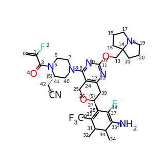 C=C(F)C(=O)N1CCN(c2nc(OCC34CCCN3CCC4)nc3c2CO[C@H](C2=C(C(F)(F)F)C(C)C(C)C(N)=C2F)C3)C[C@@H]1CC#N